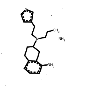 CCCN(CCc1ccsc1)C1CCc2cccc(N)c2C1.N